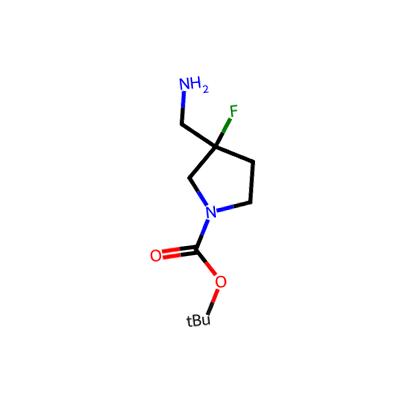 CC(C)(C)OC(=O)N1CCC(F)(CN)C1